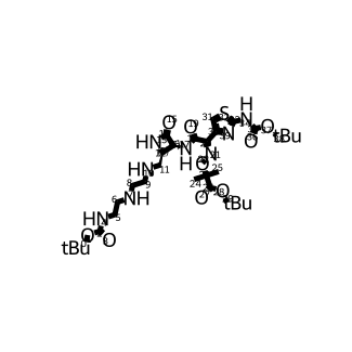 CC(C)(C)OC(=O)NCCNCCNC[C@H]1NC(=O)[C@H]1NC(=O)C(=NOC(C)(C)C(=O)OC(C)(C)C)c1csc(NC(=O)OC(C)(C)C)n1